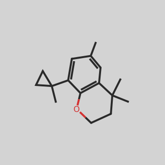 Cc1cc2c(c(C3(C)CC3)c1)OCCC2(C)C